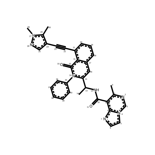 Cc1ncn2ccnc2c1C(=O)NC(C)c1cc2cccc(C#Cc3cnn(C)c3C)c2c(=O)n1-c1ccccc1